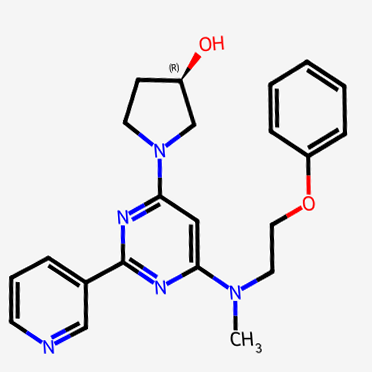 CN(CCOc1ccccc1)c1cc(N2CC[C@@H](O)C2)nc(-c2cccnc2)n1